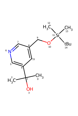 CC(C)(O)c1cncc(CO[Si](C)(C)C(C)(C)C)c1